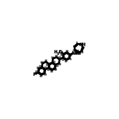 C1=CC=CNC=C1.CNc1ccc(C2CCc3c(ccc4c3CCc3cc(F)ccc3-4)C2)c(C)c1